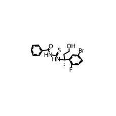 C[C@@](CCO)(NC(=S)NC(=O)c1ccccc1)c1cc(Br)ccc1F